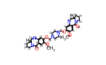 COc1cc2c(cc1OCN1CCN(COc3cc4c(cc3OC)C(=O)N3CCC[C@H]3C=N4)CC1)N=C[C@@H]1CCCN1C2=O